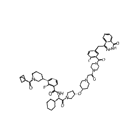 O=C(N[C@@H](C(=O)N1CC[C@H](OC2CCN(CC(=O)N3CCN(C(=O)c4cc(Cc5n[nH]c(=O)c6ccccc56)ccc4F)CC3)CC2)C1)C1CCCCC1)c1cccc(C2CCCN(C(=O)C34CC(C3)C4)C2)c1F